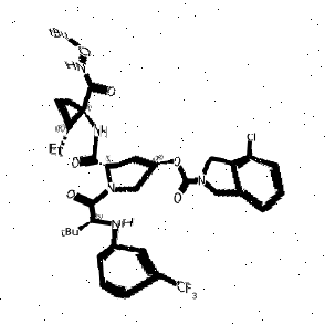 CC[C@@H]1C[C@]1(NC(=O)[C@@H]1C[C@@H](OC(=O)N2Cc3cccc(Cl)c3C2)CN1C(=O)[C@@H](Nc1cccc(C(F)(F)F)c1)C(C)(C)C)C(=O)NOC(C)(C)C